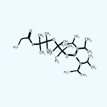 CCC(=O)SC(C)(C)C(C)(C)OC(C)(C)C(C)(C)OP(N(C(C)C)C(C)C)N(C(C)C)C(C)C